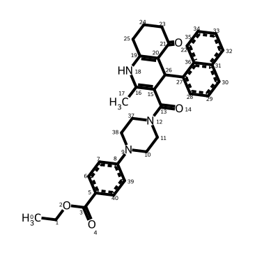 CCOC(=O)c1ccc(N2CCN(C(=O)C3=C(C)NC4=C(C(=O)CCC4)C3c3cccc4ccccc34)CC2)cc1